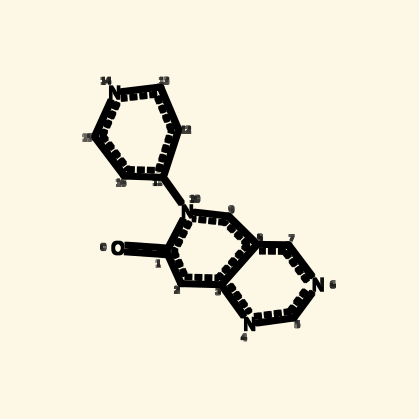 O=c1cc2ncncc2cn1-c1ccncc1